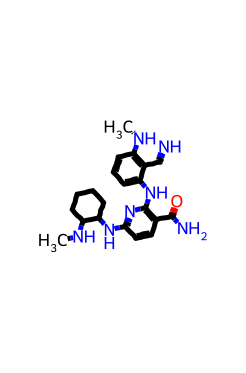 CNc1cccc(Nc2nc(NC3CCCCC3NC)ccc2C(N)=O)c1C=N